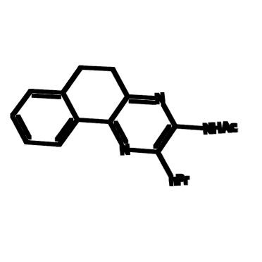 CCCc1nc2c(nc1NC(C)=O)CCc1ccccc1-2